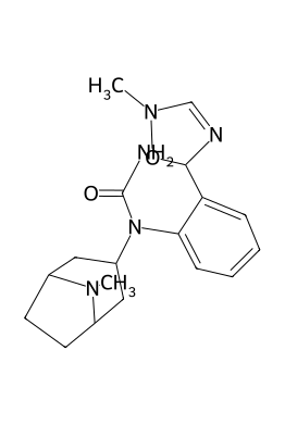 CN1C=NC(c2ccccc2N(C(N)=O)C2CC3CCC(C2)N3C)O1